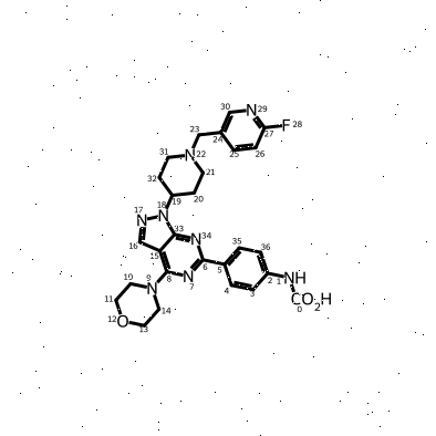 O=C(O)Nc1ccc(-c2nc(N3CCOCC3)c3cnn(C4CCN(Cc5ccc(F)nc5)CC4)c3n2)cc1